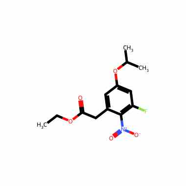 CCOC(=O)Cc1cc(OC(C)C)cc(F)c1[N+](=O)[O-]